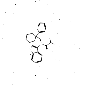 CC(C)C(=O)N(CC1(c2ccccn2)CCCCC1)c1c[nH]c2ccccc12